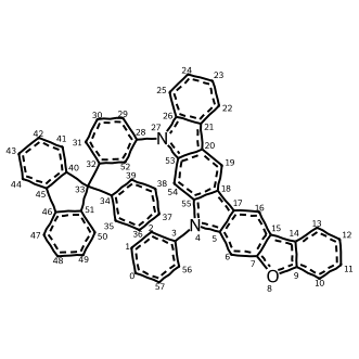 c1ccc(-n2c3cc4oc5ccccc5c4cc3c3cc4c5ccccc5n(-c5cccc(C6(c7ccccc7)c7ccccc7-c7ccccc76)c5)c4cc32)cc1